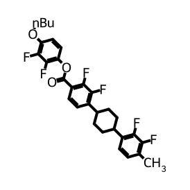 CCCCOc1ccc(OC(=O)c2ccc(C3CCC(c4ccc(C)c(F)c4F)CC3)c(F)c2F)c(F)c1F